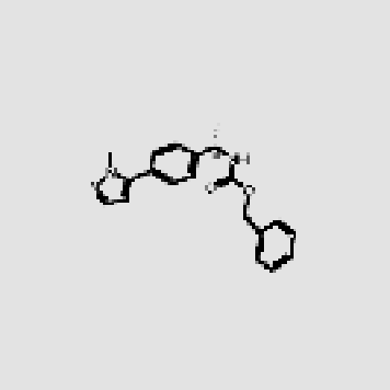 C[C@H](NC(=O)OCc1ccccc1)c1ccc(-c2ccnn2C)cc1